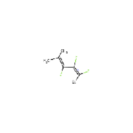 CC/C(F)=C(/F)C(F)=C(C)C